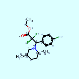 CCOC(=O)C(F)(F)C(c1ccc(F)cc1)N1C[C@H](C)CC[C@H]1C